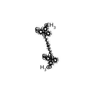 COc1ccc(C(OCCCCCCSSCCCCCCOC(c2ccccc2)(c2ccc(OC)cc2)c2ccc(OC)cc2)(c2ccccc2)c2ccc(OC)cc2)cc1